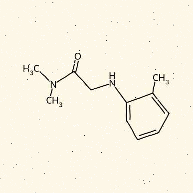 Cc1ccccc1NCC(=O)N(C)C